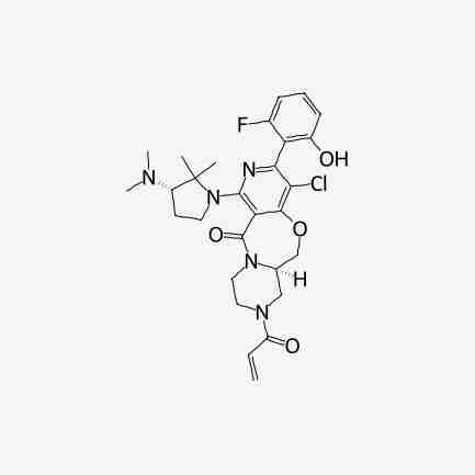 C=CC(=O)N1CCN2C(=O)c3c(N4CC[C@H](N(C)C)C4(C)C)nc(-c4c(O)cccc4F)c(Cl)c3OC[C@H]2C1